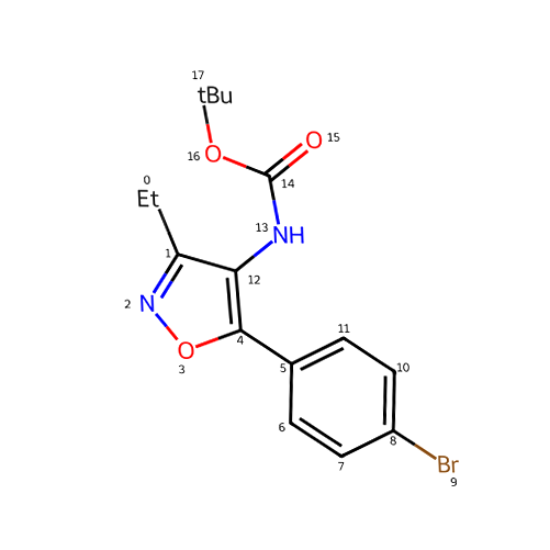 CCc1noc(-c2ccc(Br)cc2)c1NC(=O)OC(C)(C)C